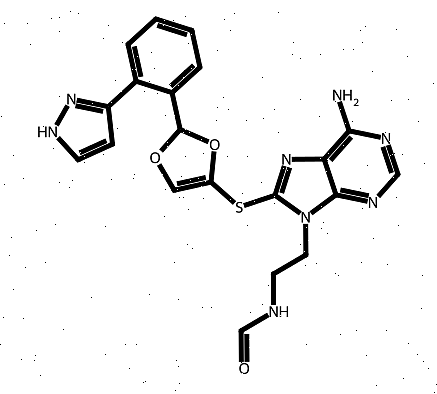 Nc1ncnc2c1nc(SC1=COC(c3ccccc3-c3cc[nH]n3)O1)n2CCNC=O